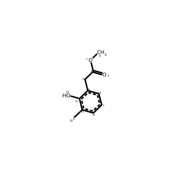 COC(=O)Cc1cccc(I)c1O